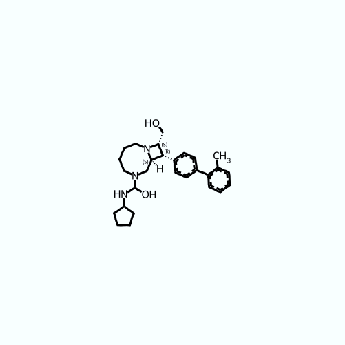 Cc1ccccc1-c1ccc([C@H]2[C@@H](CO)N3CCCCN(C(O)NC4CCCC4)C[C@H]23)cc1